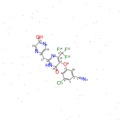 N#Cc1cc(Cl)cc(Oc2c(C(F)(F)F)nc(Cc3cnc(O)cn3)[nH]c2=O)c1